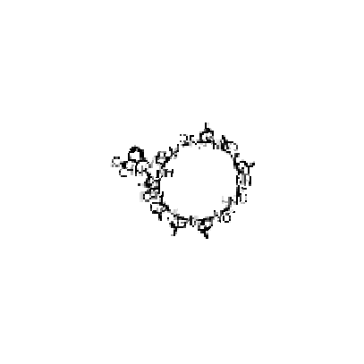 CC[C@@H]1NC(=O)[C@H]([C@H](O)[C@H](C)Cc2nc3cccc(C(=O)OC)c3[nH]2)N(C)C(=O)[C@H](C(C)C)N(C)C(=O)[C@H](CC(C)C)N(C)C(=O)[C@H](CC(C)C)N(C)C(=O)[C@@H](C)NC(=O)[C@H](C)NC(=O)[C@H](CC(C)C)N(C)C(=O)[C@H](C(C)C)NC(=O)[C@H](CC(C)C)N(C)C(=O)CN(C)C1=O